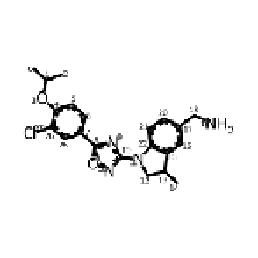 CC(C)Oc1ccc(-c2nc(N3CC(C)c4cc(CN)ccc43)no2)cc1Cl